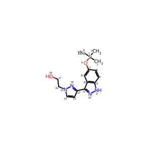 CC(C)(C)[Si](C)(C)Oc1ccc2[nH]nc(-c3ccn(CCO)n3)c2c1